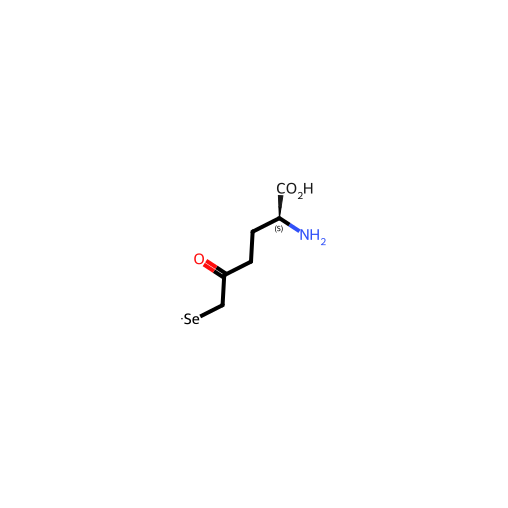 N[C@@H](CCC(=O)C[Se])C(=O)O